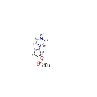 CC(C)(C)C(=O)Oc1cccc(N2CCNCC2)c1